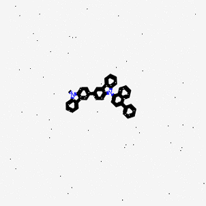 Cn1c2ccccc2c2cc(-c3ccc4c(c3)c3ccccc3n4-c3ccc(-c4ccccc4)c4ccccc34)ccc21